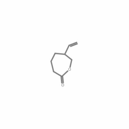 C=CC1CCCC(=O)OC1